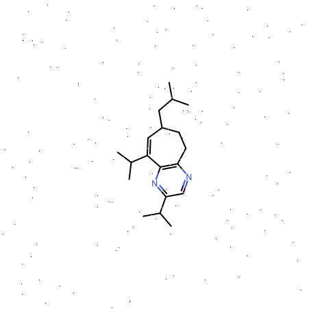 CC(C)CC1C=C(C(C)C)c2nc(C(C)C)cnc2CC1